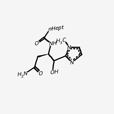 CCCCCCCC(=O)N[C@H](CC(N)=O)C(O)c1nccn1C